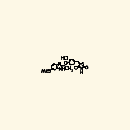 CSc1ccc2nc(C(C)Oc3ccc(CC4SC(=O)NC4=O)cc3)[nH]c2c1.Cl